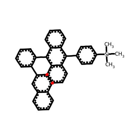 C[Si](C)(C)c1ccc(-c2c3ccccc3c(-c3ccccc3-c3ccc4ccccc4c3)c3ccccc23)cc1